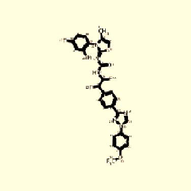 Cc1cs/c(=N\C(=O)NC(F)C(F)c2ccc(-c3ncn(-c4ccc(OC(F)(F)F)cc4)n3)cc2)n1-c1ccc(F)cc1C(C)C